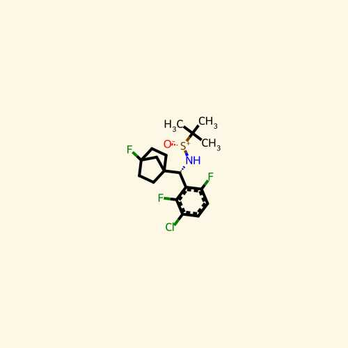 CC(C)(C)[S@@+]([O-])N[C@H](c1c(F)ccc(Cl)c1F)C12CCC(F)(CC1)C2